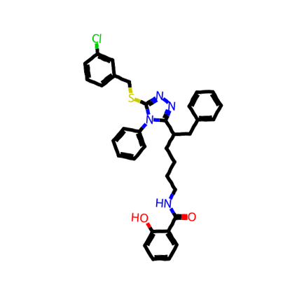 O=C(NCCCCC(Cc1ccccc1)c1nnc(SCc2cccc(Cl)c2)n1-c1ccccc1)c1ccccc1O